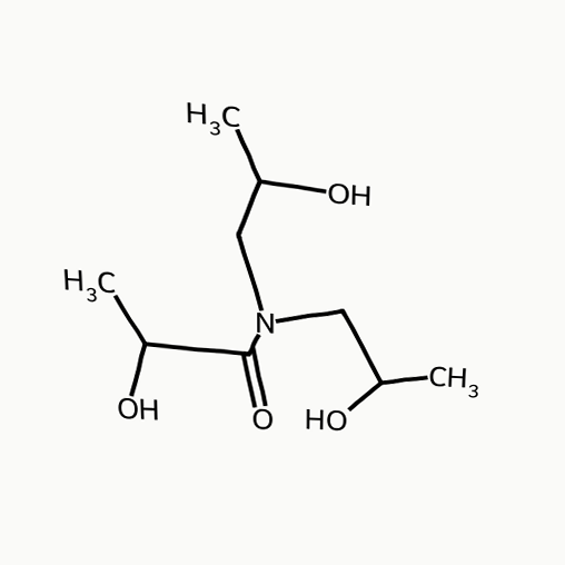 CC(O)CN(CC(C)O)C(=O)C(C)O